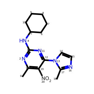 Cc1nc(NC2CCCCC2)nc(-n2ccnc2C)c1[N+](=O)[O-]